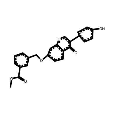 COC(=O)c1cccc(COc2ccc3c(=O)c(-c4ccc(O)cc4)coc3c2)c1